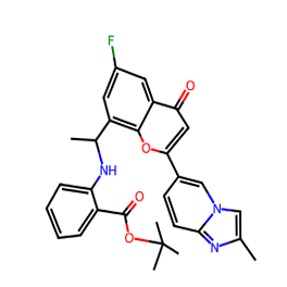 Cc1cn2cc(-c3cc(=O)c4cc(F)cc(C(C)Nc5ccccc5C(=O)OC(C)(C)C)c4o3)ccc2n1